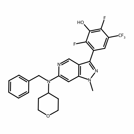 Cn1nc(-c2cc(C(F)(F)F)c(F)c(O)c2F)c2cnc(N(Cc3ccccc3)C3CCOCC3)cc21